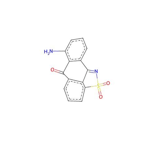 Nc1cccc2c1C(=O)c1cccc3c1C2=NS3(=O)=O